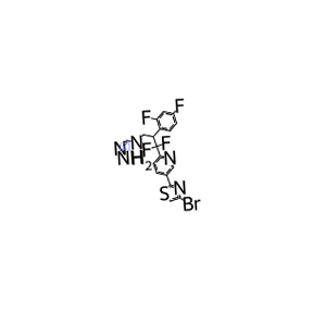 N/N=C\NCC(c1ccc(F)cc1F)C(F)(F)c1ccc(-c2nc(Br)cs2)cn1